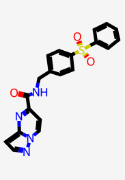 O=C(NCc1ccc(S(=O)(=O)c2ccccc2)cc1)c1ccn2nccc2n1